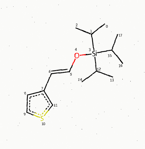 CC(C)[Si](OC=Cc1ccsc1)(C(C)C)C(C)C